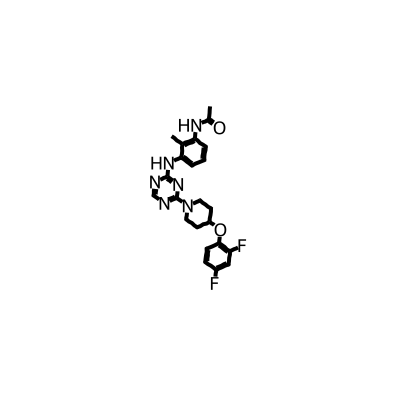 CC(=O)Nc1cccc(Nc2ncnc(N3CCC(Oc4ccc(F)cc4F)CC3)n2)c1C